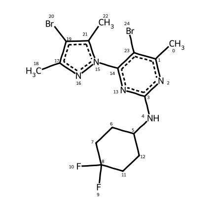 Cc1nc(NC2CCC(F)(F)CC2)nc(-n2nc(C)c(Br)c2C)c1Br